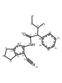 CCC(C)C(C(=O)Nc1sc2c(c1C#N)CCC2)c1ccccc1